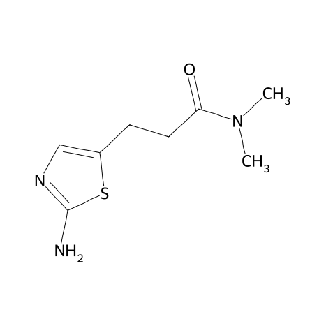 CN(C)C(=O)CCc1cnc(N)s1